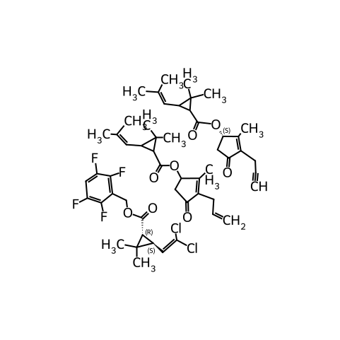 C#CCC1=C(C)[C@@H](OC(=O)C2C(C=C(C)C)C2(C)C)CC1=O.C=CCC1=C(C)C(OC(=O)C2C(C=C(C)C)C2(C)C)CC1=O.CC1(C)[C@H](C=C(Cl)Cl)[C@H]1C(=O)OCc1c(F)c(F)cc(F)c1F